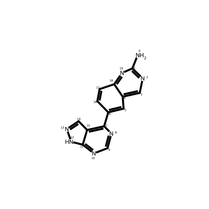 Nc1ncc2cc(-c3ncnc4[nH]ncc34)ccc2n1